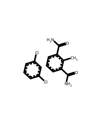 Cc1c(C(N)=O)cccc1C(N)=O.Clc1cccc(Cl)c1